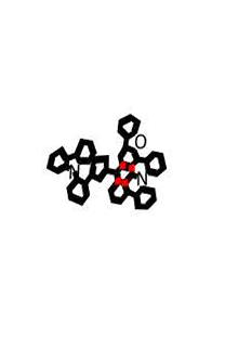 c1ccc(-c2ccccc2N(c2ccc(-c3cccc(-c4ccccc4-n4c5ccccc5c5ccccc54)c3)cc2)c2ccccc2-c2cccc3c2oc2ccccc23)cc1